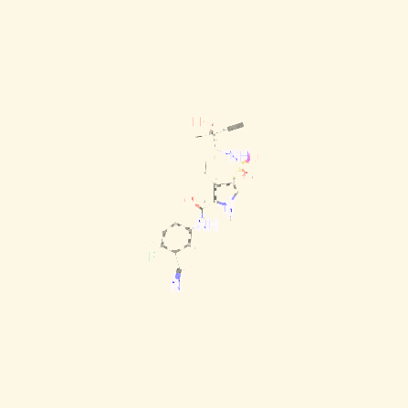 C#C[C@@](C)(O)[C@H]1CCc2c(cn(C)c2C(=O)Nc2ccc(F)c(C#N)c2)S(=O)(=O)N1